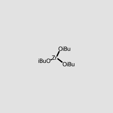 CC(C)C[O][Zr]([O]CC(C)C)[O]CC(C)C